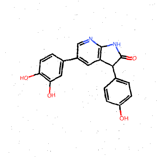 O=C1Nc2ncc(-c3ccc(O)c(O)c3)cc2C1c1ccc(O)cc1